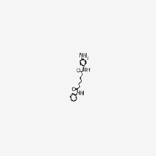 Nc1ccc(NC(=O)CCCCCC(=O)Nc2ccccc2)cc1